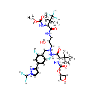 COC(=O)NC(C(=O)NC[C@@H](O)CN(Cc1c(F)cc(-c2ccn(C(F)F)n2)cc1F)NC(=O)[C@@H](NC(=O)OC1COC1)C(C)(C)C)C(C)(C)C(F)(F)F